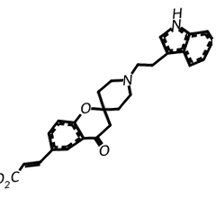 O=C(O)/C=C/c1ccc2c(c1)C(=O)CC1(CCN(CCc3c[nH]c4ccccc34)CC1)O2